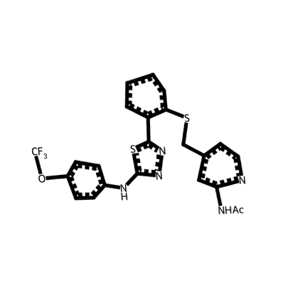 CC(=O)Nc1cc(CSc2ccccc2-c2nnc(Nc3ccc(OC(F)(F)F)cc3)s2)ccn1